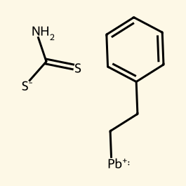 NC(=S)[S-].[Pb+][CH2]Cc1ccccc1